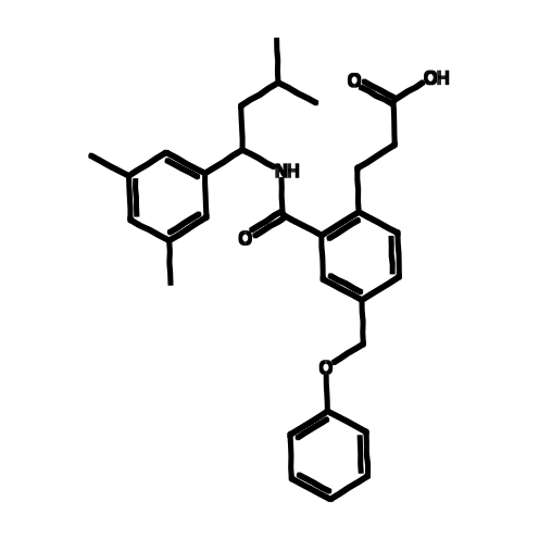 Cc1cc(C)cc(C(CC(C)C)NC(=O)c2cc(COc3ccccc3)ccc2CCC(=O)O)c1